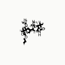 C=CCOC(=O)N1CC(C(=O)C[C@H]2NC(=O)[C@@H]2[C@@](C)(O[SiH](C)C)C(C)(C)C)=CC1(CO[SiH](C)C)C(C)(C)C